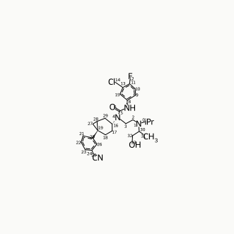 CC(C)N(CCN(C(=O)Nc1ccc(F)c(Cl)c1)[C@@H]1CC[C@]2(c3cccc(C#N)c3)CC2C1)C(C)CO